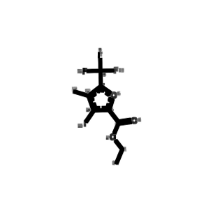 CCOC(=O)c1oc(C(F)(F)F)c(C)c1I